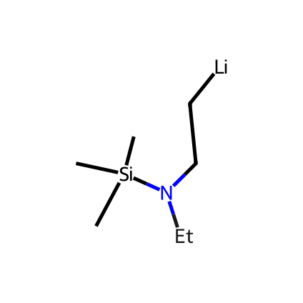 [Li][CH2]CN(CC)[Si](C)(C)C